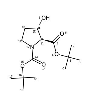 CC(C)(C)OC(=O)[C@@H]1[C@@H](O)CCN1C(=O)OC(C)(C)C